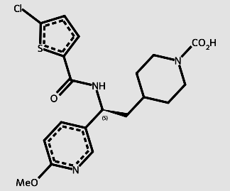 COc1ccc([C@H](CC2CCN(C(=O)O)CC2)NC(=O)c2ccc(Cl)s2)cn1